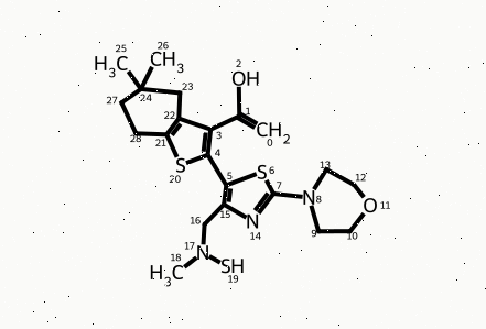 C=C(O)c1c(-c2sc(N3CCOCC3)nc2CN(C)S)sc2c1CC(C)(C)CC2